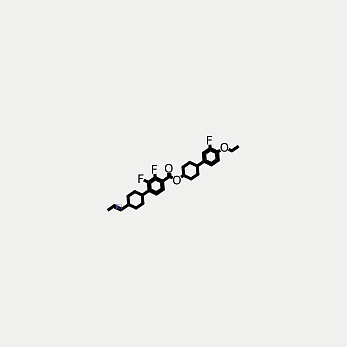 C/C=C/C1CCC(c2ccc(C(=O)OC3CCC(c4ccc(OCC)c(F)c4)CC3)c(F)c2F)CC1